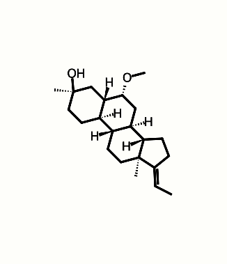 CC=C1CC[C@H]2[C@@H]3C[C@@H](OC)[C@H]4C[C@](C)(O)CC[C@@H]4[C@H]3CC[C@]12C